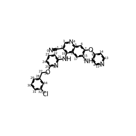 N#Cc1cnc2cc(Oc3ccncc3)c(N)cc2c1Nc1cccc(OCc2cccc(Cl)c2)n1